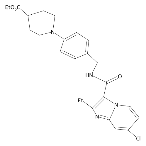 CCOC(=O)C1CCN(c2ccc(CNC(=O)c3c(CC)nc4cc(Cl)ccn34)cc2)CC1